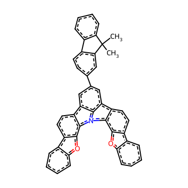 CC1(C)c2ccccc2-c2ccc(-c3cc4c5ccc6c7ccccc7oc6c5n5c4c(c3)c3ccc4c6ccccc6oc4c35)cc21